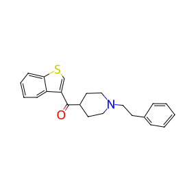 O=C(c1csc2ccccc12)C1CCN(CCc2ccccc2)CC1